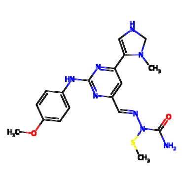 COc1ccc(Nc2nc(/C=N/N(SC)C(N)=O)cc(C3=CNCN3C)n2)cc1